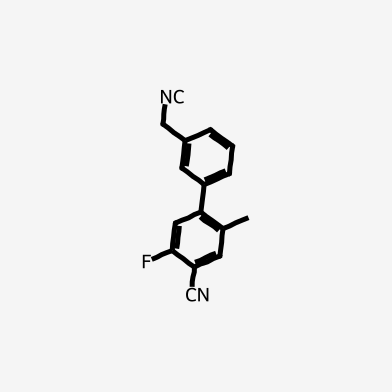 [C-]#[N+]Cc1cccc(-c2cc(F)c(C#N)cc2C)c1